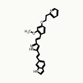 COc1cc(OCCc2ccccn2)ccc1C=Cc1cc(C=Cc2ccc3cc[nH]c3c2)[nH]n1